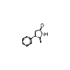 C=C1NC(=O)CC1c1ccccc1